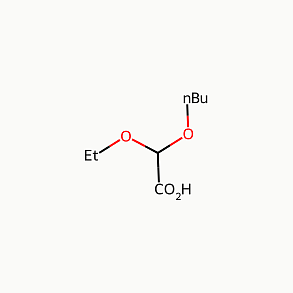 CCCCOC(OCC)C(=O)O